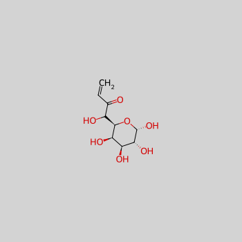 C=CC(=O)C(O)[C@H]1O[C@H](O)[C@H](O)[C@@H](O)[C@H]1O